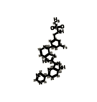 CS(=O)(=O)NCc1cc(F)cc(-c2nccc3[nH]c(-c4n[nH]c5ccc(-c6cncnc6)nc45)nc23)c1